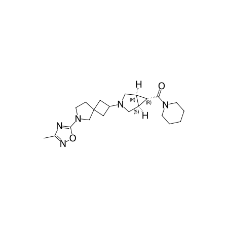 Cc1noc(N2CCC3(CC(N4C[C@@H]5[C@H](C4)[C@H]5C(=O)N4CCCCC4)C3)C2)n1